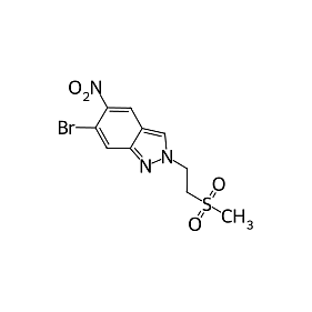 CS(=O)(=O)CCn1cc2cc([N+](=O)[O-])c(Br)cc2n1